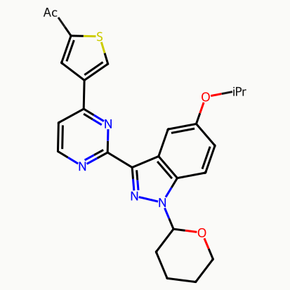 CC(=O)c1cc(-c2ccnc(-c3nn(C4CCCCO4)c4ccc(OC(C)C)cc34)n2)cs1